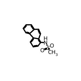 CS(=O)(=O)Nc1cccc2c1ccc1ccccc12